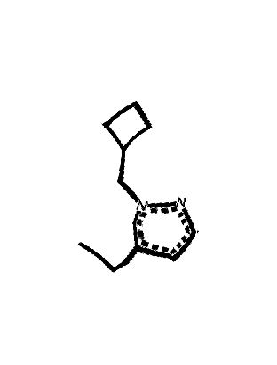 CCc1c[c]nn1CC1CCC1